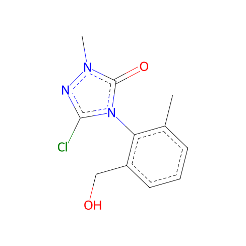 Cc1cccc(CO)c1-n1c(Cl)nn(C)c1=O